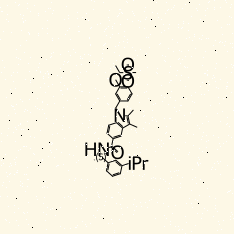 Cc1c(C)n(Cc2cccc(OC(C)S(C)(=O)=O)c2)c2ccc(C(=O)N[C@@H](C)c3cccc(C(C)C)c3)cc12